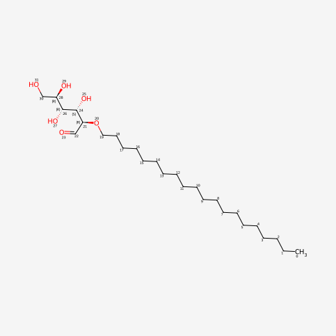 CCCCCCCCCCCCCCCCCCCCO[C@@H](C=O)[C@@H](O)[C@H](O)[C@H](O)CO